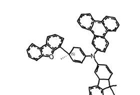 CC1(C)c2ccccc2C2C=C(N(C3=CC[C@](C)(c4cccc5c4oc4ccccc45)C=C3)c3ccc4c5ccccc5c5ccccc5c4c3)C=CC21